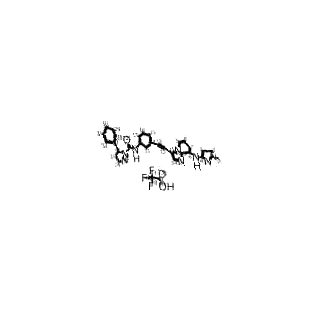 Cn1ccc(Nc2cccn3c(C#Cc4cccc(NC(=O)N5N=CCC5c5ccccc5)c4)cnc23)n1.O=C(O)C(F)(F)F